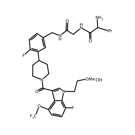 COCCn1cc(C(=O)N2CCC(c3cc(CNC(=O)CNC(=O)C(N)C(C)C)ccc3F)CC2)c2c(OC(F)(F)F)ccc(F)c21.Cl